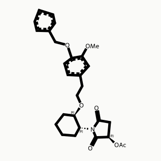 COc1cc(CCO[C@@H]2CCCC[C@H]2N2C(=O)C[C@@H](OC(C)=O)C2=O)ccc1OCc1ccccc1